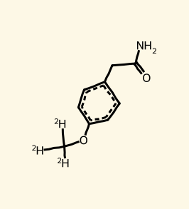 [2H]C([2H])([2H])Oc1ccc(CC(N)=O)cc1